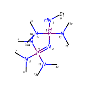 CCN[PH](N=P(N(C)C)(N(C)C)N(C)C)(N(C)C)N(C)C